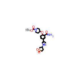 CC(C)(C)OC(=O)N1CCC(Oc2ccc(-c3cnn(C4CCS(=O)(=O)C4)c3)cc2C(N)=O)CC1